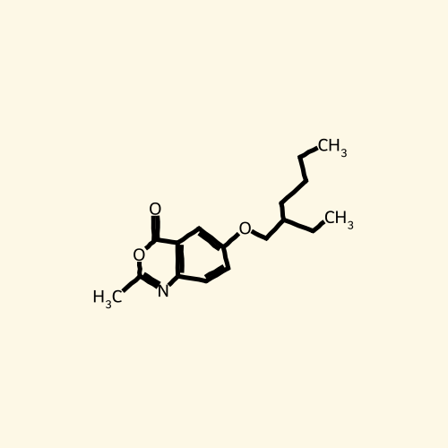 CCCCC(CC)COc1ccc2nc(C)oc(=O)c2c1